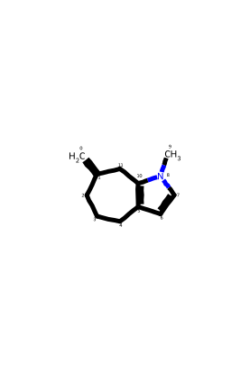 C=C1CCCc2ccn(C)c2C1